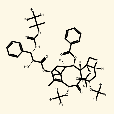 [2H]C([2H])([2H])O[C@H]1C(=O)[C@]2(C)[C@@H](OC([2H])([2H])[2H])C[C@H]3OC[C@@]3(OC(C)=O)[C@H]2[C@H](OC(=O)c2ccccc2)[C@]2(O)C[C@H](OC(=O)[C@H](O)[C@@H](NC(=O)OC(C)(C)C([2H])([2H])[2H])c3ccccc3)C(C)=C1C2(C)C